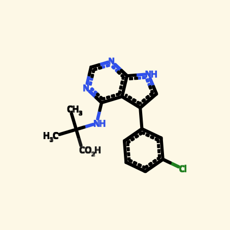 CC(C)(Nc1ncnc2[nH]cc(-c3cccc(Cl)c3)c12)C(=O)O